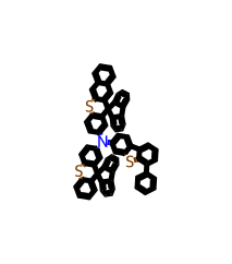 c1ccc(-c2cccc3c2sc2cc(N(c4ccc5c(c4)C4(c6ccccc6S5)c5ccccc5-c5ccccc54)c4ccc5c(c4)C4(c6cc7ccccc7cc6S5)c5ccccc5-c5ccccc54)ccc23)cc1